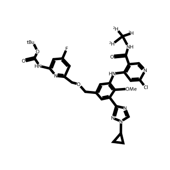 [2H]C([2H])([2H])NC(=O)c1cnc(Cl)cc1Nc1cc(COCc2cc(F)cc(NC(=O)OC(C)(C)C)n2)cc(-c2ncn(C3CC3)n2)c1OC